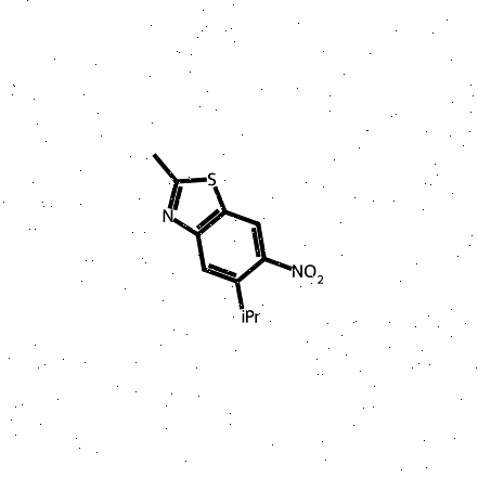 Cc1nc2cc(C(C)C)c([N+](=O)[O-])cc2s1